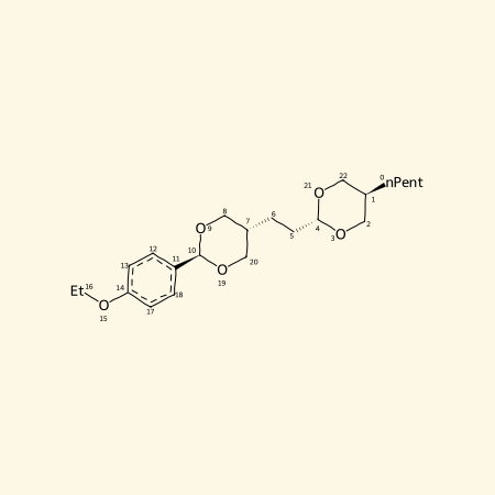 CCCCC[C@H]1CO[C@H](CC[C@H]2CO[C@H](c3ccc(OCC)cc3)OC2)OC1